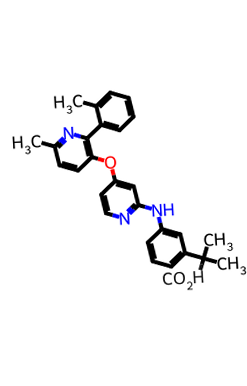 Cc1ccc(Oc2ccnc(Nc3cccc(C(C)(C)C(=O)O)c3)c2)c(-c2ccccc2C)n1